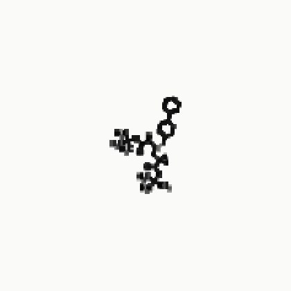 CC(C)(C)OC(=O)N[C@H](Cc1ccc(-c2ccccc2)cc1)CC1(C(=O)OC(C)(C)C)CC1